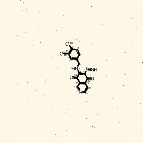 N=NC1=C(NCc2ccc(Cl)c(Cl)c2)C(=O)c2cnccc2C1=O